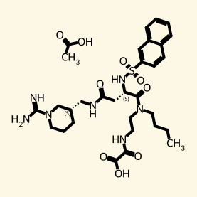 CC(=O)O.CCCCN(CCNC(=O)C(=O)O)C(=O)[C@H](CC(=O)NC[C@@H]1CCCN(C(=N)N)C1)NS(=O)(=O)c1ccc2ccccc2c1